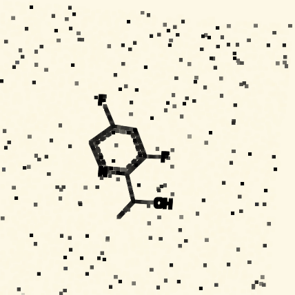 CC(O)c1ncc(F)cc1F